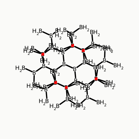 BB(B)B(B(B)B)B(B(B(B)B)B(B)B)B(B(B(B(B)B)B(B)B)B(B(B)B)B(B)B)B(B(B(B(B)B)B(B)B)B(B(B)B)B(B)B)B(B(B(B)B)B(B)B)B(B(B)B)B(B)B